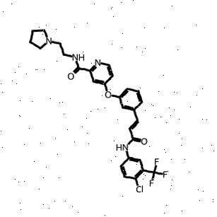 O=C(C=Cc1cccc(Oc2ccnc(C(=O)NCCN3CCCC3)c2)c1)Nc1ccc(Cl)c(C(F)(F)F)c1